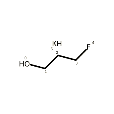 OCCCF.[KH]